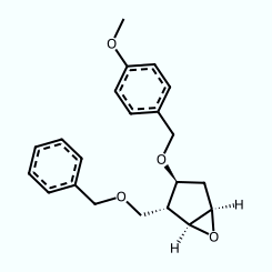 COc1ccc(CO[C@H]2C[C@H]3O[C@H]3[C@@H]2COCc2ccccc2)cc1